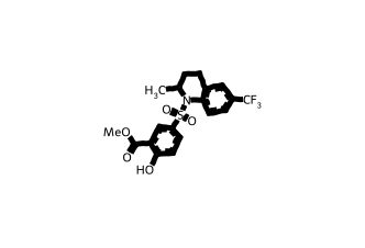 COC(=O)c1cc(S(=O)(=O)N2c3ccc(C(F)(F)F)cc3CCC2C)ccc1O